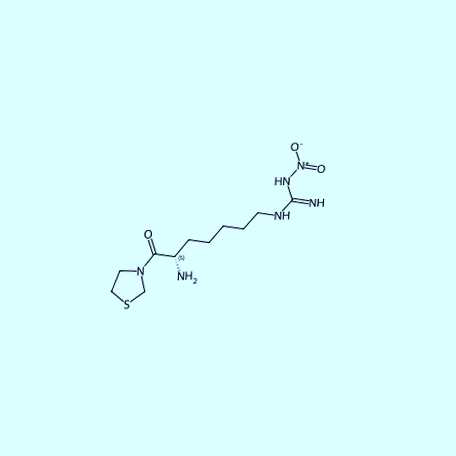 N=C(NCCCCC[C@H](N)C(=O)N1CCSC1)N[N+](=O)[O-]